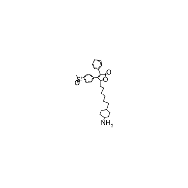 C[S+]([O-])c1ccc(C2=C(c3ccccc3)C(=O)OC2CCCCCCC2CCC(N)CC2)cc1